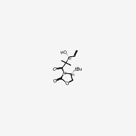 C=C[C@@H](O)C(C)(C)C(=O)N1C(=O)OC[C@H]1C(C)(C)C